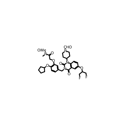 CON(C)C(=O)COc1cc(Cn2c(=O)c3cc(OC(CF)CF)ccc3n(C3CCN(C=O)CC3)c2=O)ccc1OC1CCCC1